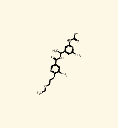 Cc1cc(C(C)NC(=O)c2cnc(OCCOCC(F)(F)F)c(C)c2)cc(NC(=O)C(C)C)n1